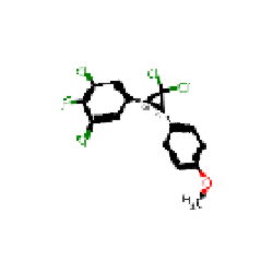 COc1ccc([C@@H]2[C@@H](c3cc(Cl)c(F)c(Cl)c3)C2(Cl)Cl)cc1